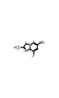 CC1=NC2C(F)=CC(C(C)C)=CN2C1